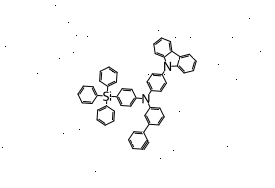 c1cccc(-c2cccc(N(c3ccc(-n4c5ccccc5c5ccccc54)cc3)c3ccc([Si](c4ccccc4)(c4ccccc4)c4ccccc4)cc3)c2)c#1